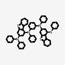 c1ccc(Sc2cc(N(c3ccccc3)c3cccc(N(c4ccccc4)c4cc(N(c5ccccc5)c5ccccc5)cc5sc6ccccc6c45)c3)cc3sc4ccccc4c23)cc1